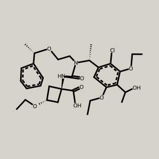 CCOc1cc([C@@H](C)N(CCO[C@@H](C)c2ccccc2)C(=O)N[C@]2(C(=O)O)C[C@@H](OCC)C2)c(Cl)c(OCC)c1C(C)O